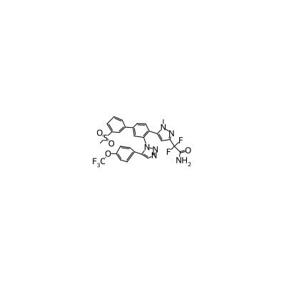 Cn1nc(C(F)(F)C(N)=O)cc1-c1ccc(-c2cccc(S(C)(=O)=O)c2)cc1-n1nncc1-c1ccc(OC(F)(F)F)cc1